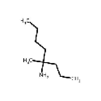 CCCCC(C)(N)CCC